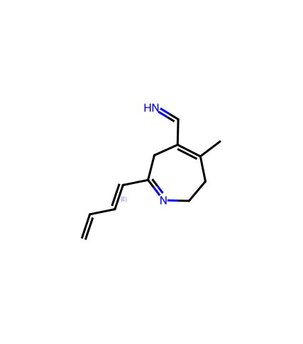 C=C/C=C/C1=NCCC(C)=C(C=N)C1